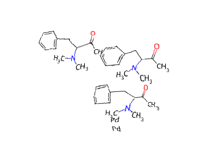 CC(=O)C(Cc1ccccc1)N(C)C.CC(=O)C(Cc1ccccc1)N(C)C.CC(=O)C(Cc1ccccc1)N(C)C.[Pd].[Pd]